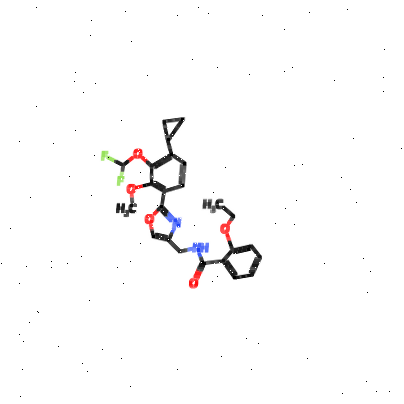 CCOc1ccccc1C(=O)NCc1coc(-c2ccc(C3CC3)c(OC(F)F)c2OC)n1